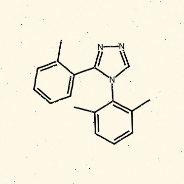 Cc1ccccc1-c1nncn1-c1c(C)cccc1C